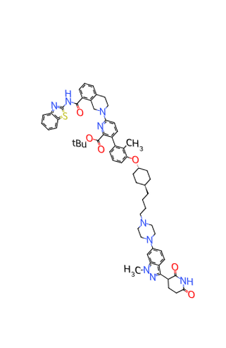 Cc1c(O[C@H]2CC[C@H](CCCCN3CCN(c4ccc5c(C6CCC(=O)NC6=O)nn(C)c5c4)CC3)CC2)cccc1-c1ccc(N2CCc3cccc(C(=O)Nc4nc5ccccc5s4)c3C2)nc1C(=O)OC(C)(C)C